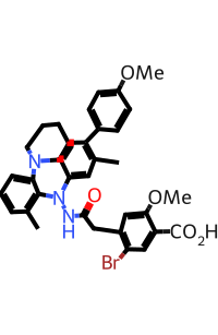 COc1ccc(-c2ccc(N(NC(=O)Cc3cc(OC)c(C(=O)O)cc3Br)c3c(C)cccc3N3CCCCC3)cc2C)cc1